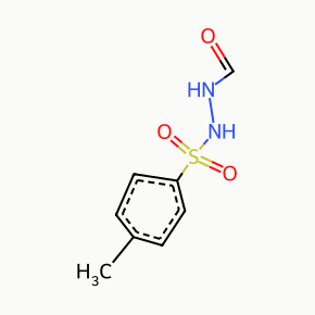 Cc1ccc(S(=O)(=O)NNC=O)cc1